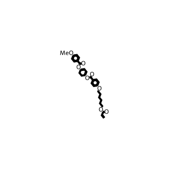 C=CC(=O)OCCCCCCOc1ccc(C(=O)OC2=CC=C(OC(=O)c3ccc(OC)cc3)CC2)cc1